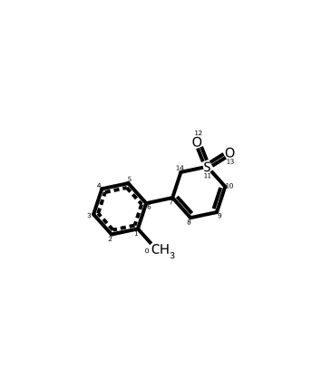 Cc1ccccc1C1=CC=CS(=O)(=O)C1